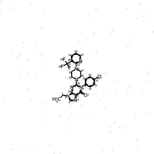 CCn1cnc2c(=O)n(-c3ccc(Cl)cc3)c(N3CCN(c4ncccc4C(F)(F)F)CC3)nc21